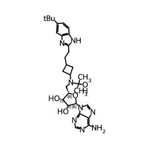 CC(C)(C)c1ccc2[nH]c(CCC3CC(N(C[C@H]4O[C@@H](n5cnc6c(N)ncnc65)[C@H](O)[C@@H]4O)C(C)(C)O)C3)nc2c1